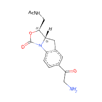 CC(=O)NC[C@@H]1OC(=O)N2c3ccc(C(=O)CN)cc3C[C@@H]12